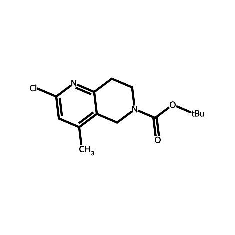 Cc1cc(Cl)nc2c1CN(C(=O)OC(C)(C)C)CC2